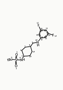 CC(C)(C)S(=O)(=O)NC1CCC(CNc2cc(F)cc(F)c2)CC1